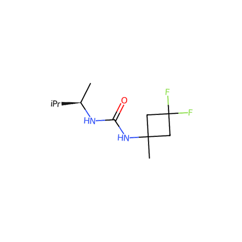 CC(C)[C@@H](C)NC(=O)NC1(C)CC(F)(F)C1